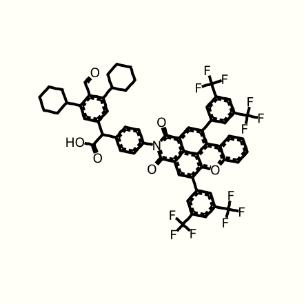 O=Cc1c(C2CCCCC2)cc(C(C(=O)O)c2ccc(-n3c(=O)c4cc(-c5cc(C(F)(F)F)cc(C(F)(F)F)c5)c5oc6ccccc6c6c(-c7cc(C(F)(F)F)cc(C(F)(F)F)c7)cc(c3=O)c4c56)cc2)cc1C1CCCCC1